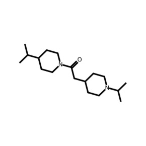 CC(C)C1CCN(C(=O)CC2CCN(C(C)C)CC2)CC1